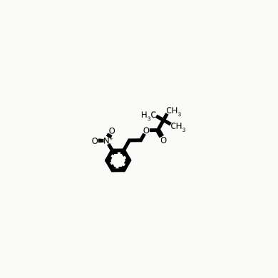 CC(C)(C)C(=O)OCCc1ccccc1[N+](=O)[O-]